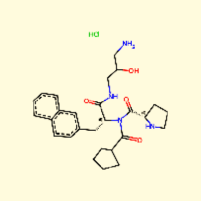 Cl.NCC(O)CNC(=O)[C@@H](Cc1ccc2ccccc2c1)N(C(=O)C1CCCC1)C(=O)[C@@H]1CCCN1